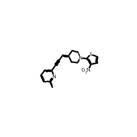 Cc1cccc(C#CC=C2CCN(c3sccc3[N+](=O)[O-])CC2)n1